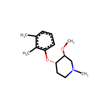 CO[C@H]1CN(C)CC[C@@H]1Oc1cccc(C)c1C